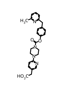 Cc1cccc(Cc2ccc(OC(=O)N3CCN(c4ccc(CC(=O)O)cn4)CC3)cc2)n1